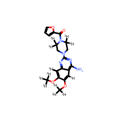 [2H]c1c(OC([2H])([2H])[2H])c(OC([2H])([2H])[2H])c([2H])c2c(N)nc(N3CC([2H])([2H])N(C(=O)c4ccco4)C([2H])([2H])C3)nc12